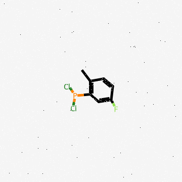 Cc1ccc(F)cc1P(Cl)Cl